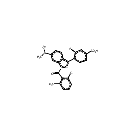 CC(=O)N(C)c1ccc2c(-c3ccc(C(=O)O)cc3F)nn(C(=O)c3c(C)cccc3Cl)c2c1